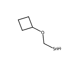 [SnH][CH2]OC1CCC1